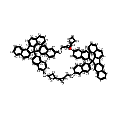 c1ccc2cc3c(cc2c1)-c1ccc2ccccc2c1C3(c1ccc2cc(OCC3SC3C3CC(Oc4ccc5cc(C6(c7ccc8cc(OCC9CS9)ccc8c7)c7ccc8ccccc8c7-c7ccc8ccccc8c76)ccc5c4)S3)ccc2c1)c1ccc2cc(OC3CCS3)ccc2c1